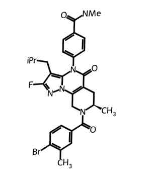 CNC(=O)c1ccc(-n2c(=O)c3c(n4nc(F)c(CC(C)C)c24)CN(C(=O)c2ccc(Br)c(C)c2)[C@H](C)C3)cc1